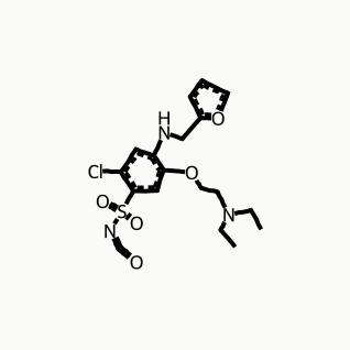 CCN(CC)CCOc1cc(S(=O)(=O)N=C=O)c(Cl)cc1NCc1ccco1